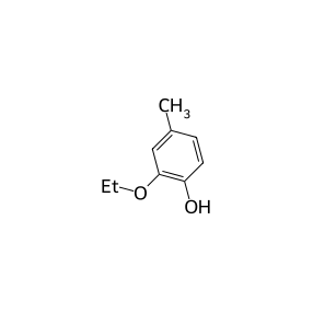 CCOc1cc(C)ccc1O